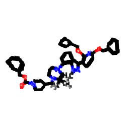 Cn1nc(-c2ccc(OCc3ccccc3)nc2OCc2ccccc2)c2cccc(N3CCN(CC4CCN(C(=O)OCc5ccccc5)CC4)C(C)(C)C3)c21